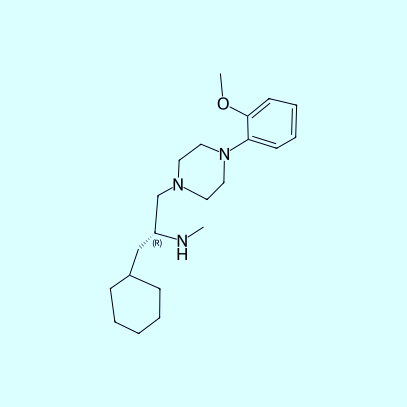 CN[C@H](CC1CCCCC1)CN1CCN(c2ccccc2OC)CC1